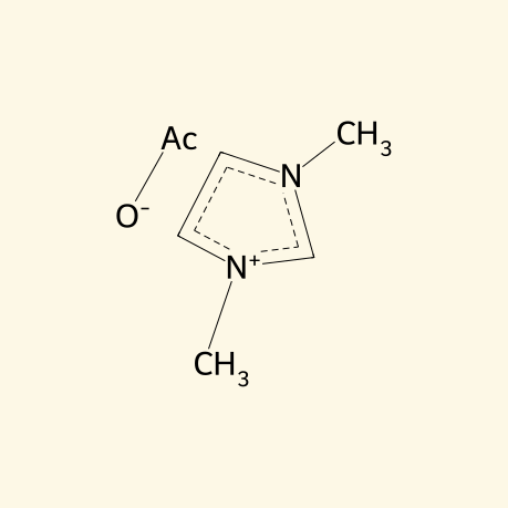 CC(=O)[O-].Cn1cc[n+](C)c1